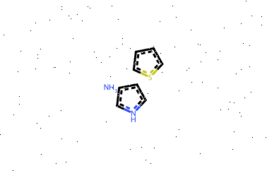 N.c1cc[nH]c1.c1ccsc1